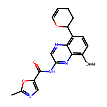 COc1ccc(C2CCC=CO2)c2ncc(NC(=O)c3cnc(C)o3)nc12